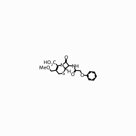 COCC1=C(C(=O)O)N2C(=O)C(NC(=O)COc3ccccc3)[C@H]2SC1